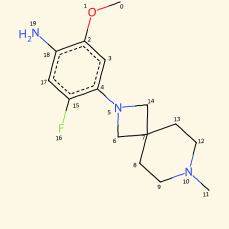 COc1cc(N2CC3(CCN(C)CC3)C2)c(F)cc1N